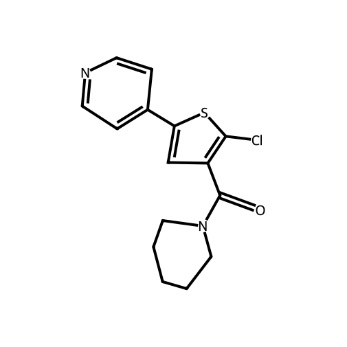 O=C(c1cc(-c2ccncc2)sc1Cl)N1CCCCC1